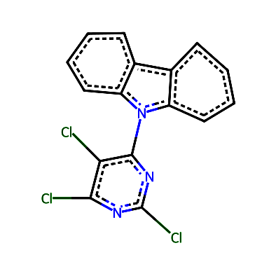 Clc1nc(Cl)c(Cl)c(-n2c3ccccc3c3ccccc32)n1